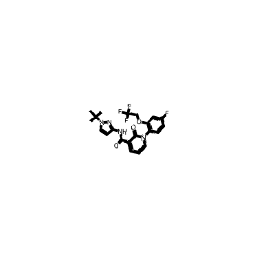 CC(C)(C)n1ccc(NC(=O)c2cccn(-c3ccc(F)cc3OCC(F)(F)F)c2=O)n1